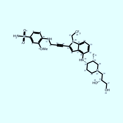 COc1cc(S(N)(=O)=O)ccc1NCC#Cc1cc2c(N[C@H]3CCN(C[C@@H](O)CO)C[C@H]3F)cccc2n1CC(F)(F)F